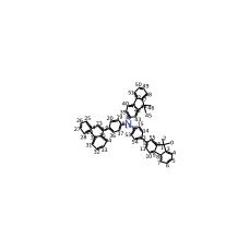 CC1(C)c2ccccc2-c2ccc(-c3ccc(N(c4ccc(-c5cc6ccccc6c6ccccc56)cc4)c4ccc5c(c4)C(C)(C)c4ccccc4-5)cc3)cc21